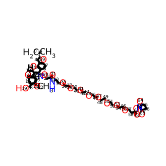 C=C(C)[C@H]1Cc2c(ccc3c2O[C@@H]2COc4cc(CO)c(OC)cc4[C@@H]2/C3=N/OCC(=O)NCCOCCOCCOCCOCCOCCOCCOCCOCCC(=O)ON2C(=O)CCC2=O)O1